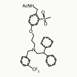 CC(=O)NCc1ccc(OCCCN(Cc2cccc(C(F)(F)F)c2)CC(c2ccccc2)c2ccccc2)cc1S(C)(=O)=O